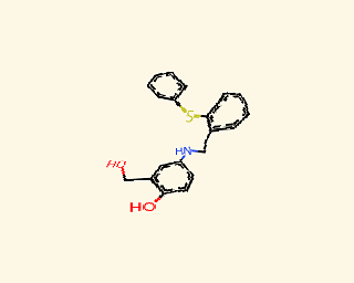 OCc1cc(NCc2ccccc2Sc2ccccc2)ccc1O